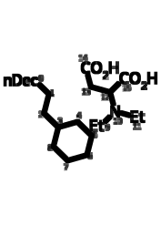 CCCCCCCCCCCCC1CCCCC1.CCN(CC)C(CC(=O)O)C(=O)O